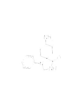 NC1CCC2(CC1)C(=O)NCN2c1ccccc1